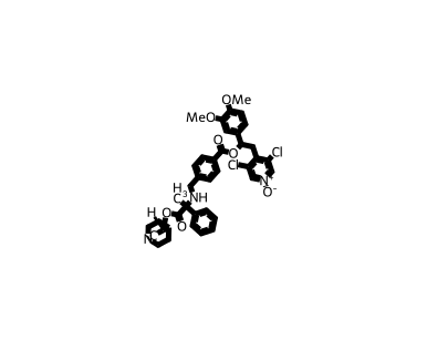 COc1ccc(C(Cc2c(Cl)c[n+]([O-])cc2Cl)OC(=O)c2ccc(CNC(C)(C(=O)O[C@H]3CN4CCC3CC4)c3ccccc3)cc2)cc1OC